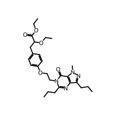 CCCc1nn(C)c2c(=O)n(CCOc3ccc(CC(OCC)C(=O)OCC)cc3)c(CCC)nc12